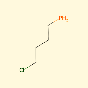 PCCCCCl